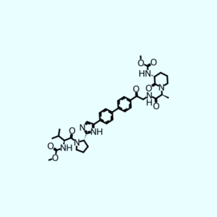 COC(=O)N[C@H](C(=O)N1CCC[C@H]1c1ncc(-c2ccc(-c3ccc(C(=O)CNC(=O)[C@H](C)N4CCC[C@@H](NC(=O)OC)C4=O)cc3)cc2)[nH]1)C(C)C